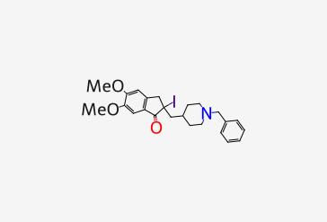 COc1cc2c(cc1OC)C(=O)C(I)(CC1CCN(Cc3ccccc3)CC1)C2